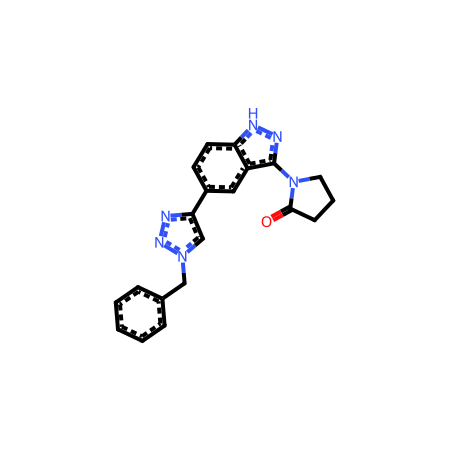 O=C1CCCN1c1n[nH]c2ccc(-c3cn(Cc4ccccc4)nn3)cc12